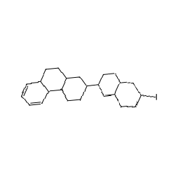 IC1CCC2CC(C3CCC4C(CCC5C=CC=CC54)C3)CCC2C1